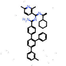 C=C(/N=C(\N=C(/N)c1ccc(-c2ccc(-c3cccc(C)c3)cc2-c2ccccc2)cc1)c1ccc(C)nc1C)C1CCCCC1